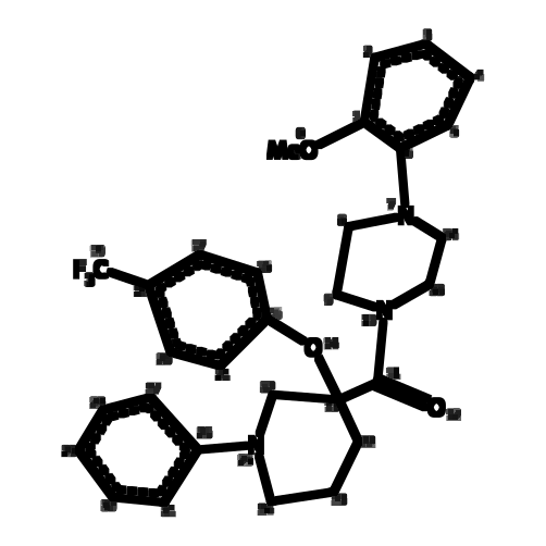 COc1ccccc1N1CCN(C(=O)C2(Oc3ccc(C(F)(F)F)cc3)CCCN(c3ccccc3)C2)CC1